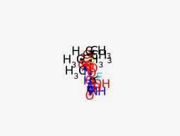 CC(C)OC(=O)[C@H](C)NP(=O)(OCCSC(=O)C(C)(C)C)OC[C@H]1O[C@@H](n2ccc(=O)[nH]c2=O)[C@H](O)[C@@H]1CF